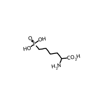 NC(CCCCP(=O)(O)O)C(=O)O